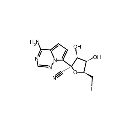 N#C[C@@]1(c2ccc3c(N)ncnn23)O[C@H](CI)[C@@H](O)[C@H]1O